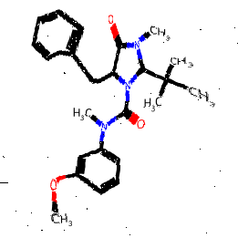 COc1cccc(N(C)C(=O)N2C(Cc3ccccc3)C(=O)N(C)C2C(C)(C)C)c1